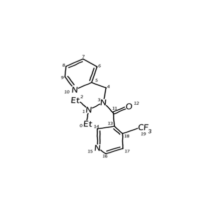 CCN(CC)N(Cc1ccccn1)C(=O)c1cnccc1C(F)(F)F